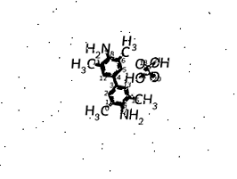 Cc1cc(-c2cc(C)c(N)c(C)c2)cc(C)c1N.O=S(=O)(O)O